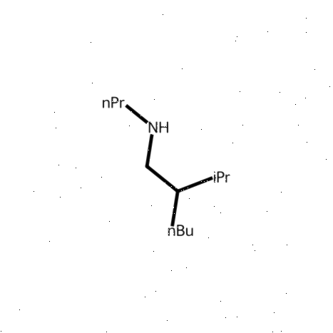 CCCCC(CNCCC)C(C)C